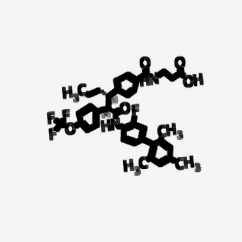 CCC[C@H](c1ccc(C(=O)NCCC(=O)O)cc1)[C@@H](C(=O)Nc1ccc(-c2c(C)cc(C)cc2C)cc1F)c1ccc(OC(F)(F)F)cc1